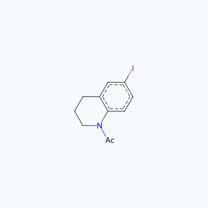 CC(=O)N1CCCc2cc(I)ccc21